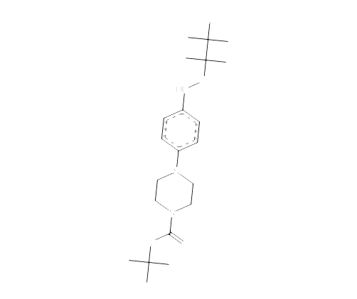 CC(C)(C)OC(=O)N1CCN(c2ccc(BOC(C)(C)C(C)(C)O)cc2)CC1